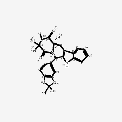 [2H]C1([2H])Oc2ccc(C3c4[nH]c5ccccc5c4C[C@@H]4C(=O)N(C)C([2H])([2H])C(=O)N34)cc2O1